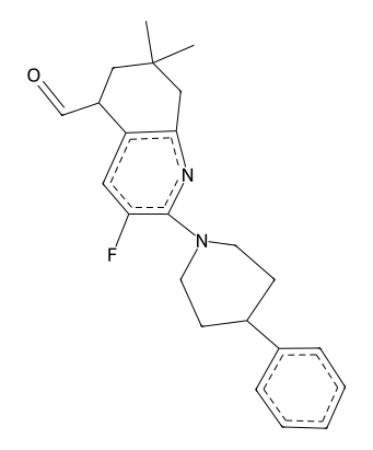 CC1(C)Cc2nc(N3CCC(c4ccccc4)CC3)c(F)cc2C(C=O)C1